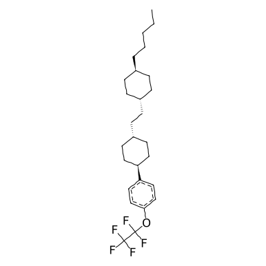 CCCCC[C@H]1CC[C@H](CC[C@H]2CC[C@H](c3ccc(OC(F)(F)C(F)(F)F)cc3)CC2)CC1